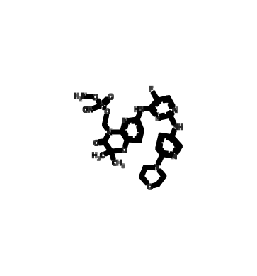 CC1(C)Oc2ccc(Nc3nc(Nc4ccc(N5CCOCC5)nc4)ncc3F)nc2N(COP(=O)(N=O)ON)C1=O